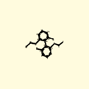 CCCc1cccc(C)c1-c1c(C)cccc1CCC